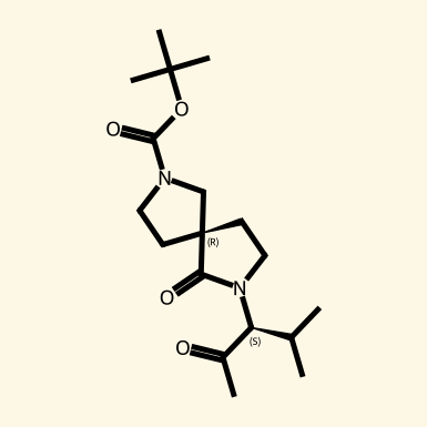 CC(=O)[C@H](C(C)C)N1CC[C@]2(CCN(C(=O)OC(C)(C)C)C2)C1=O